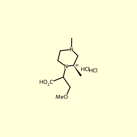 COCC(C(=O)O)N1CCN(C)C[C@H]1C.Cl.Cl